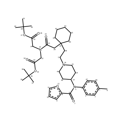 Cc1ccc(N(C(=O)c2ccco2)C2CCN(CCC3(CC(=O)N(CC(=O)OC(C)(C)C)CC(=O)OC(C)(C)C)CCCCC3)CC2)cc1